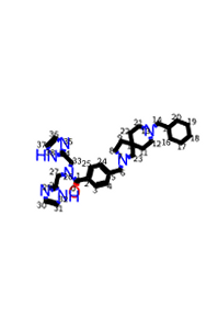 O=C(c1ccc(CN2CCC3(CCN(CC4CCCCC4)CC3)C2)cc1)N(Cc1ncc[nH]1)Cc1ncc[nH]1